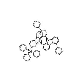 c1ccc(-c2ccc(-n3c4cccc(-c5ccccc5)c4c4cccc(-n5c6ccccc6c6ccc([Si](c7ccccc7)(c7ccccc7)c7ccccc7)cc65)c43)cc2)cc1